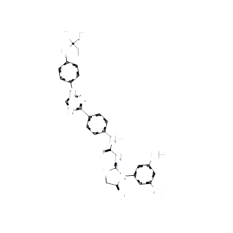 Cc1cc(C)cc(N2C(=O)CS/C2=N\C(=O)Nc2ccc(-c3ncn(-c4ccc(OC(F)(F)F)cc4)n3)cc2)c1